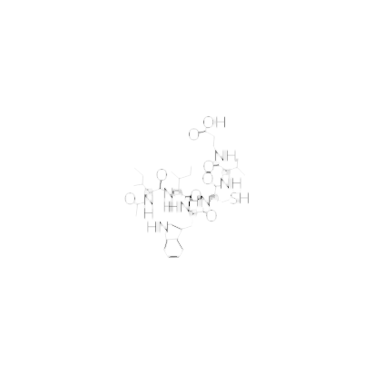 CCC(C)[C@H](NC(C)=O)C(=O)N[C@H](C(=O)N[C@@H](Cc1c[nH]c2ccccc12)C(=O)N[C@@H](CS)C(=O)N[C@H](C(=O)NCCC(=O)O)C(C)C)C(C)CC